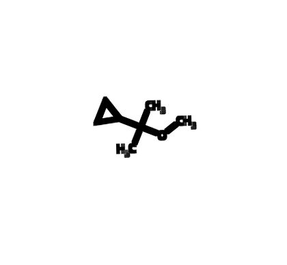 COC(C)(C)C1CC1